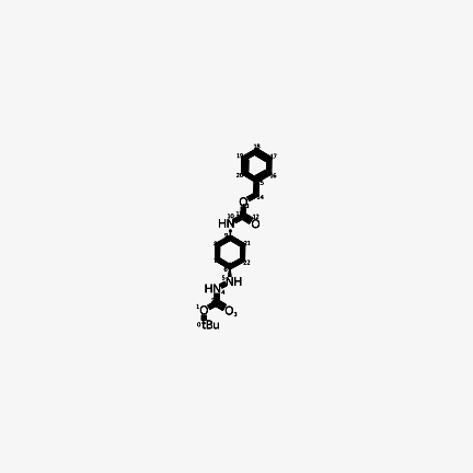 CC(C)(C)OC(=O)NN[C@H]1CC[C@H](NC(=O)OCc2ccccc2)CC1